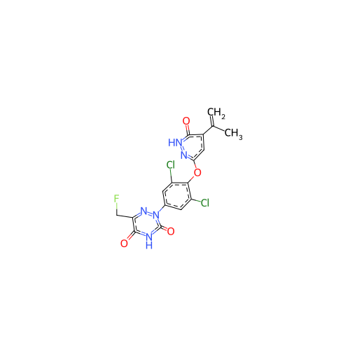 C=C(C)c1cc(Oc2c(Cl)cc(-n3nc(CF)c(=O)[nH]c3=O)cc2Cl)n[nH]c1=O